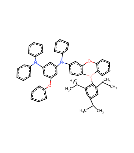 CC(C)c1cc(C(C)C)c(B2c3ccccc3Oc3cc(N(c4ccccc4)c4cc(Oc5ccccc5)cc(N(c5ccccc5)c5ccccc5)c4)ccc32)c(C(C)C)c1